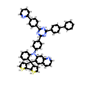 c1ccc(-c2ccc(-c3nc(-c4ccc(-c5ccccn5)cc4)nc(-c4ccc(N5c6ccccc6C6(c7cc8cccnc8cc75)c5ccsc5-c5sccc56)cc4)n3)cc2)cc1